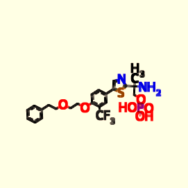 CC(N)(COP(=O)(O)O)c1ncc(-c2ccc(OCCOCCc3ccccc3)c(C(F)(F)F)c2)s1